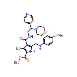 CCc1c(C(=O)OC(C)(C)C)[nH]c(CNc2ccc(OC)cc2)c1C(=O)NCC(c1ccncc1)N1CCOCC1